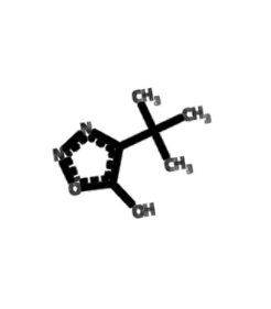 CC(C)(C)c1nnoc1O